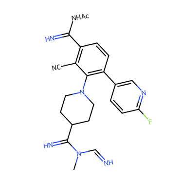 CC(=O)NC(=N)c1ccc(-c2ccc(F)nc2)c(N2CCC(C(=N)N(C)C=N)CC2)c1C#N